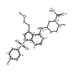 COCCc1cn(S(=O)(=O)c2ccc(C)cc2)c2ncnc(NC3CCC(C)N(C(=O)O)C3)c12